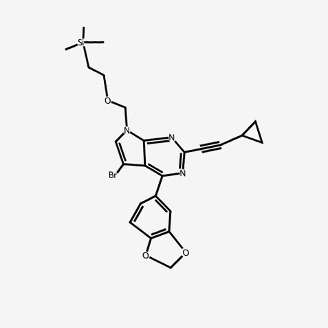 C[Si](C)(C)CCOCn1cc(Br)c2c(-c3ccc4c(c3)OCO4)nc(C#CC3CC3)nc21